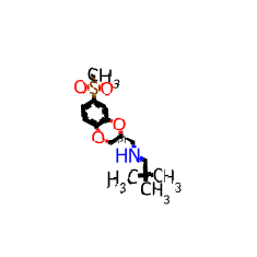 CC(C)(C)CNC[C@H]1COc2ccc(S(C)(=O)=O)cc2O1